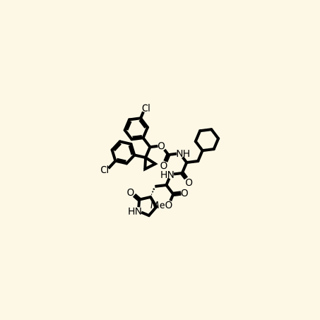 COC(=O)C(C[C@@H]1CCNC1=O)NC(=O)C(CC1CCCCC1)NC(=O)OC(c1cccc(Cl)c1)C1(c2cccc(Cl)c2)CC1